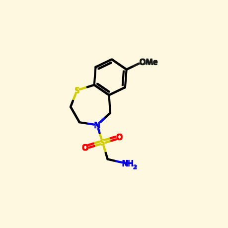 COc1ccc2c(c1)CN(S(=O)(=O)CN)CCS2